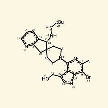 Cc1nc(N2CCC3(CC2)Cc2ncccc2[C@H]3NSC(C)(C)C)c2c(CO)cnn2c1Br